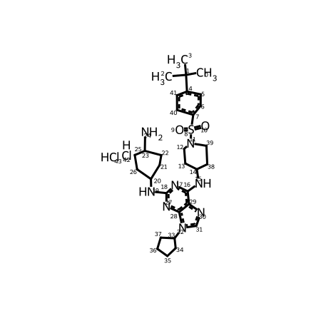 CC(C)(C)c1ccc(S(=O)(=O)N2CCC(Nc3nc(NC4CCC(N)CC4)nc4c3ncn4C3CCCC3)CC2)cc1.Cl.Cl